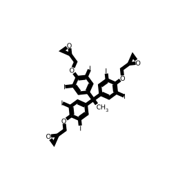 CC(c1cc(I)c(OCC2CO2)c(I)c1)(c1cc(I)c(OCC2CO2)c(I)c1)c1cc(I)c(OCC2CO2)c(I)c1